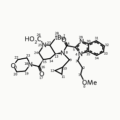 COCCCn1c(C(=O)N(CC2CC2)[C@H]2C[C@@H](C(=O)N3CCOCC3)CN(C(=O)O)C2C(C)(C)C)nc2ccccc21